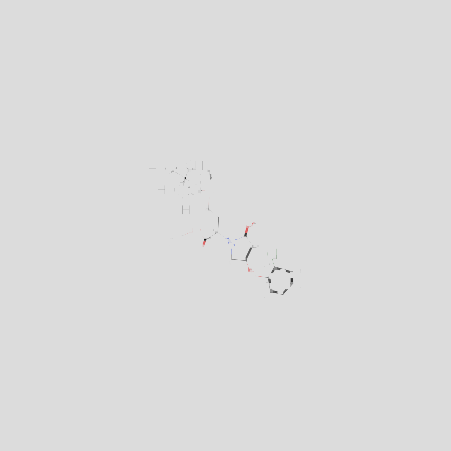 COC(=O)C(CCO[Si](C)(C)C(C)(C)C)N1CC(Oc2ccccc2Cl)=CC1=O